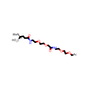 CN[C@H](CCC(=O)NCCOCCOCC(=O)NCCOCCOCC(C)=O)C(=O)O